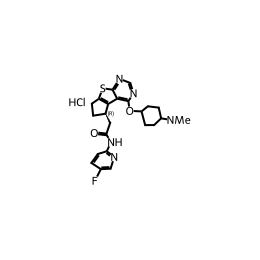 CNC1CCC(Oc2ncnc3sc4c(c23)[C@@H](CC(=O)Nc2ccc(F)cn2)CC4)CC1.Cl